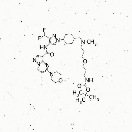 CN(CCCOCCCNC(=O)OC(C)(C)C)CC1CCC(n2cc(NC(=O)c3cnn4ccc(N5CCOCC5)nc34)c(C(F)F)n2)CC1